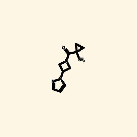 NC1(C(=O)N2CC(n3c[c]cn3)C2)CC1